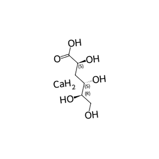 O=C(O)[C@@H](O)C[C@H](O)[C@H](O)CO.[CaH2]